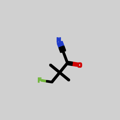 CC(C)(CF)C(=O)C#N